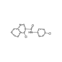 O=C(Nc1ccc(Cl)cc1)c1cnc2ccccc2c1Cl